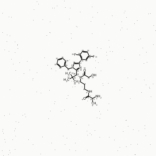 C[C@H](N)C(=O)NCCCN(C(=O)CO)[C@@H](c1nc(-c2cc(F)ccc2F)cn1Cc1ccccc1)C(C)(C)C